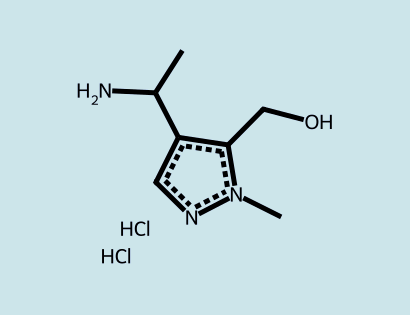 CC(N)c1cnn(C)c1CO.Cl.Cl